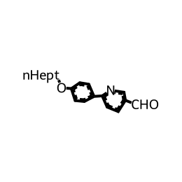 CCCCCCCOc1ccc(-c2ccc(C=O)cn2)cc1